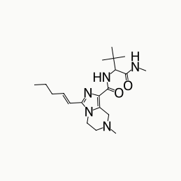 CCCC=Cc1nc(C(=O)NC(C(=O)NC)C(C)(C)C)c2n1CCN(C)C2